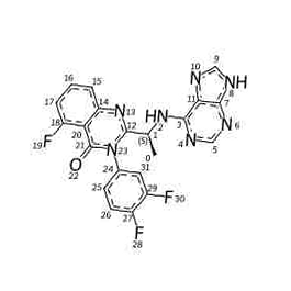 C[C@H](Nc1ncnc2[nH]cnc12)c1nc2cccc(F)c2c(=O)n1-c1ccc(F)c(F)c1